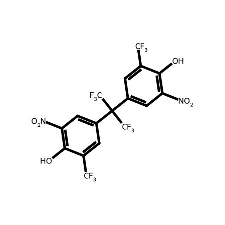 O=[N+]([O-])c1cc(C(c2cc([N+](=O)[O-])c(O)c(C(F)(F)F)c2)(C(F)(F)F)C(F)(F)F)cc(C(F)(F)F)c1O